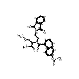 COCC(C(=O)O)N(CCN1C(=O)c2ccccc2C1=O)C(=O)c1cccc2cc([N+](=O)[O-])ccc12